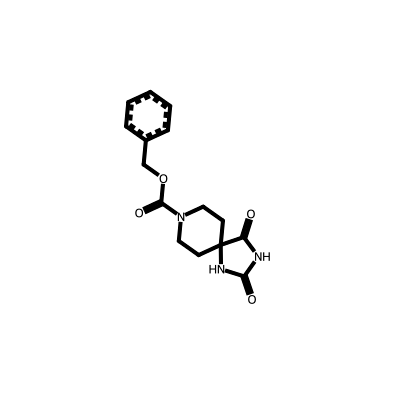 O=C1NC(=O)C2(CCN(C(=O)OCc3ccccc3)CC2)N1